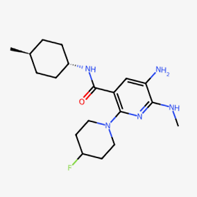 CNc1nc(N2CCC(F)CC2)c(C(=O)N[C@H]2CC[C@H](C)CC2)cc1N